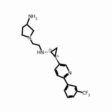 NC1CCN(CCN[C@@H]2C[C@H]2c2ccc(-c3cccc(C(F)(F)F)c3)nc2)C1